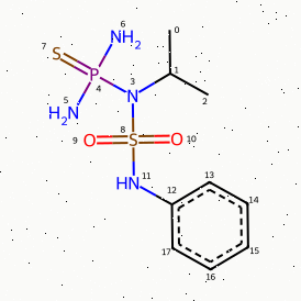 CC(C)N(P(N)(N)=S)S(=O)(=O)Nc1ccccc1